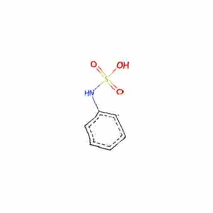 O=S(=O)(O)Nc1[c]cccc1